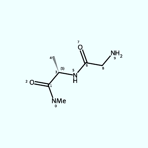 CNC(=O)[C@H](C)NC(=O)CN